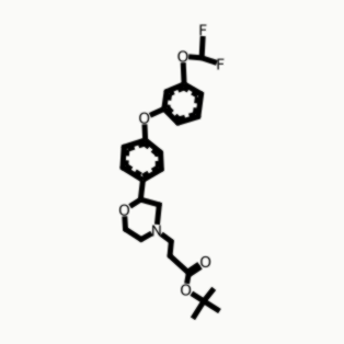 CC(C)(C)OC(=O)CCN1CCOC(c2ccc(Oc3cccc(OC(F)F)c3)cc2)C1